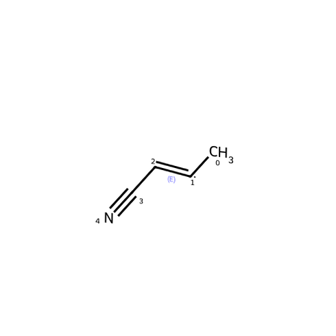 C/[C]=C/C#N